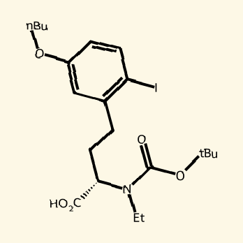 CCCCOc1ccc(I)c(CC[C@@H](C(=O)O)N(CC)C(=O)OC(C)(C)C)c1